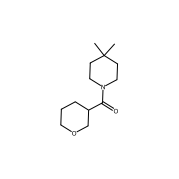 CC1(C)CCN(C(=O)C2CCCOC2)CC1